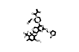 C=C(F)C(=O)N1CCN(c2nc(OC[C@@H]3CCCN3C)nc3c2CO[C@H](C2(C)C(F)=C(N)C=C(C)C2C(F)(F)F)C3)C[C@@H]1CC#N